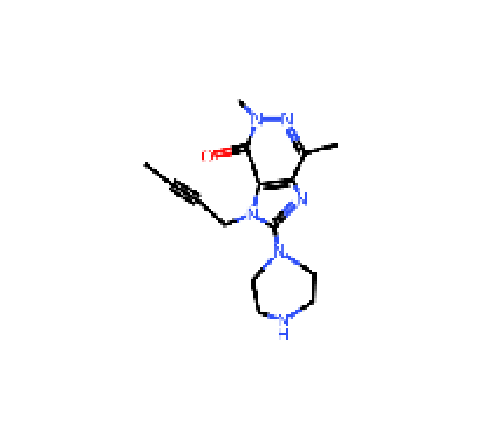 CC#CCn1c(N2CCNCC2)nc2c(C)nn(C)c(=O)c21